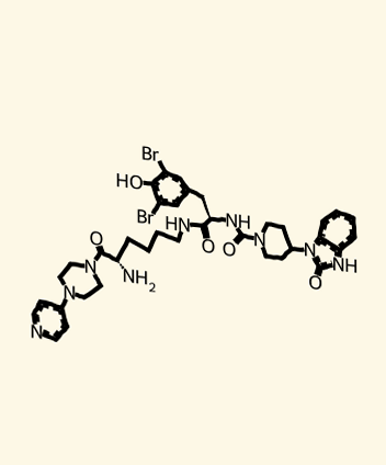 N[C@@H](CCCCNC(=O)[C@@H](Cc1cc(Br)c(O)c(Br)c1)NC(=O)N1CCC(n2c(=O)[nH]c3ccccc32)CC1)C(=O)N1CCN(c2ccncc2)CC1